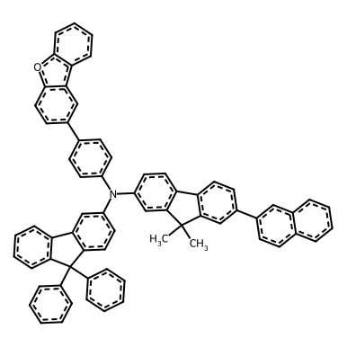 CC1(C)c2cc(-c3ccc4ccccc4c3)ccc2-c2ccc(N(c3ccc(-c4ccc5oc6ccccc6c5c4)cc3)c3ccc4c(c3)-c3ccccc3C4(c3ccccc3)c3ccccc3)cc21